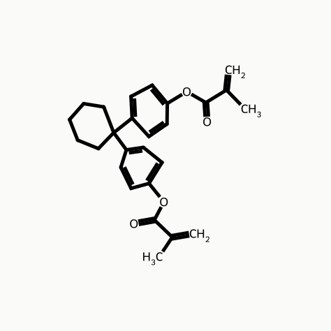 C=C(C)C(=O)Oc1ccc(C2(c3ccc(OC(=O)C(=C)C)cc3)CCCCC2)cc1